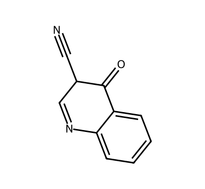 N#CC1C=Nc2ccccc2C1=O